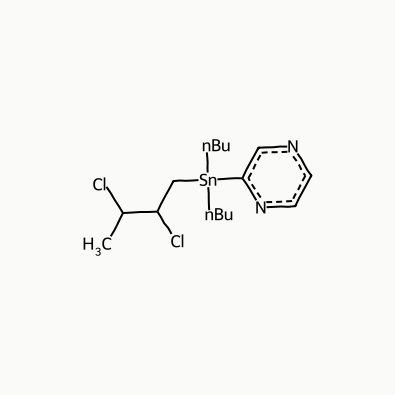 CCC[CH2][Sn]([CH2]CCC)([CH2]C(Cl)C(C)Cl)[c]1cnccn1